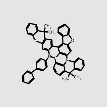 CC1(C)c2ccccc2Oc2cc3c(cc21)-c1c2c(cc4oc5ccccc5c14)N1c4ccccc4C(C)(C)c4cccc(c41)B2N3c1ccc(-c2ccccc2)cc1